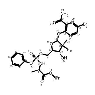 CC(C)OC(=O)[C@@H](C)N[P@@](=O)(OC[C@H]1O[C@@H](Oc2ncc(Br)nc2C(N)=O)[C@](C)(F)[C@@H]1O)Oc1ccccc1